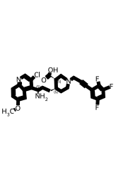 COc1ccc2ncc(Cl)c([C@@H](N)CC[C@H]3CCN(CC#Cc4cc(F)cc(F)c4F)C[C@H]3C(=O)O)c2c1